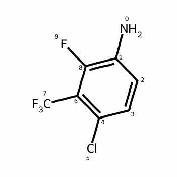 Nc1ccc(Cl)c(C(F)(F)F)c1F